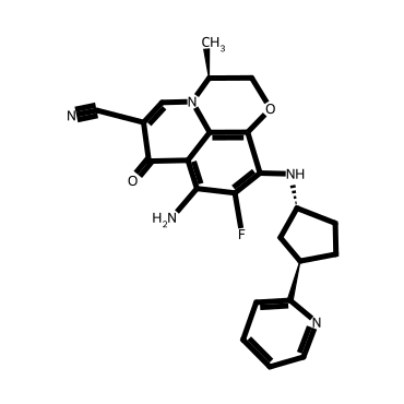 C[C@H]1COc2c(N[C@@H]3CC[C@@H](c4ccccn4)C3)c(F)c(N)c3c(=O)c(C#N)cn1c23